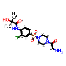 C[C@@](O)(C(=O)Nc1ccc(S(=O)(=O)N2CCN(C(=O)CN)CC2)cc1Cl)C(F)(F)F